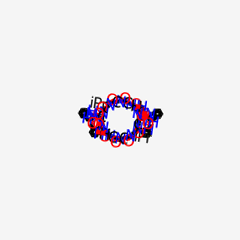 CC(C)[C@H]1C(=O)NC[C@@H](NC(=O)c2nc3ccccc3cc2OCc2ccccc2)C(=O)N2CCCC[C@H]2C(=O)NCC(=O)N(C)CC(=O)N(C)[C@@H](C(C)C)C(=O)NC[C@@H](NC(=O)c2nc3ccccc3cc2OCc2ccccc2)C(=O)N2CCCC[C@H]2C(=O)NCC(=O)N(C)CC(=O)N1C